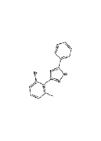 Cc1cccc(Br)c1-c1cc(-c2ccccc2)[nH]n1